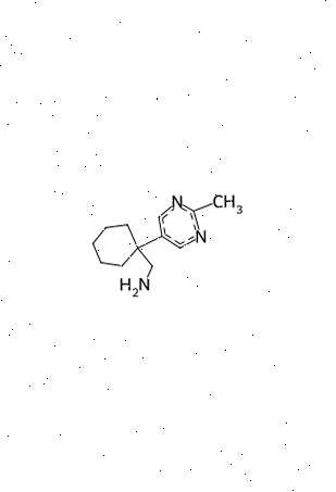 Cc1ncc(C2(CN)CCCCC2)cn1